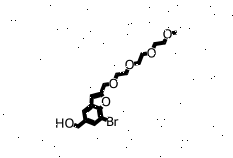 COCCOCCOCCOCc1cc2cc(CO)cc(Br)c2o1